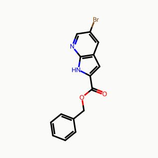 O=C(OCc1ccccc1)c1cc2cc(Br)cnc2[nH]1